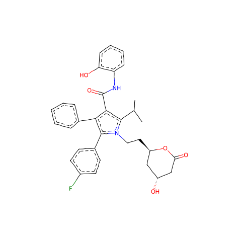 CC(C)c1c(C(=O)Nc2ccccc2O)c(-c2ccccc2)c(-c2ccc(F)cc2)n1CC[C@@H]1C[C@@H](O)CC(=O)O1